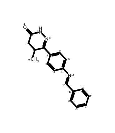 CC1CC(=O)NN=C1c1ccc(N=Cc2ccccc2)cc1